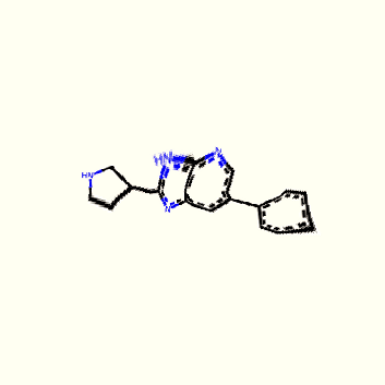 c1ccc(-c2cnc3[nH]c(C4CCNC4)nc3c2)cc1